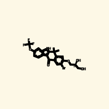 CC1(C)c2cc(OC[C@@H](O)CO)c(Br)cc2C(=O)c2c1[nH]c1cc(OC(F)(F)F)ccc21